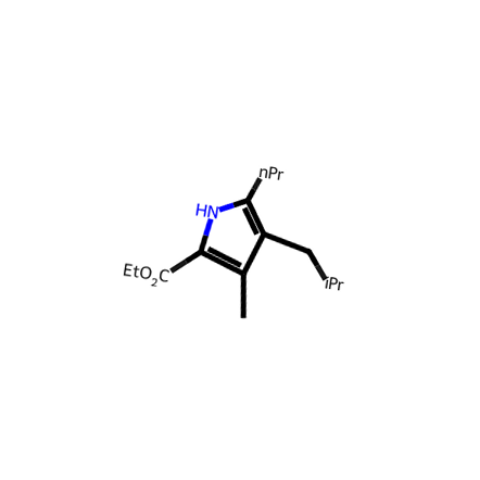 CCCc1[nH]c(C(=O)OCC)c(C)c1CC(C)C